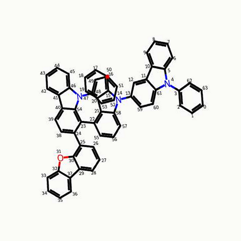 c1ccc(-n2c3ccccc3c3cc(-n4c5ccccc5c5c(-c6c(-c7cccc8c7oc7ccccc78)ccc7c8ccccc8n(-c8ccccc8)c67)cccc54)ccc32)cc1